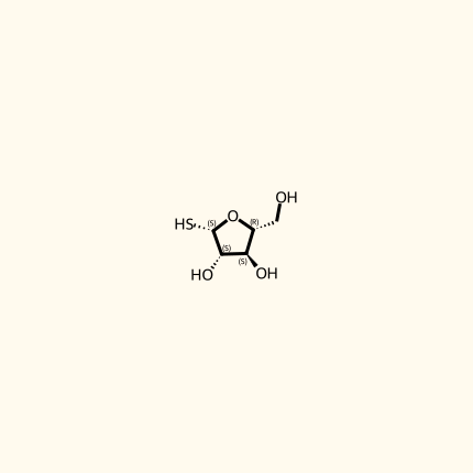 OC[C@H]1O[C@@H](S)[C@@H](O)[C@@H]1O